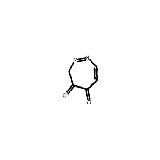 O=C1C=CN=NCC1=O